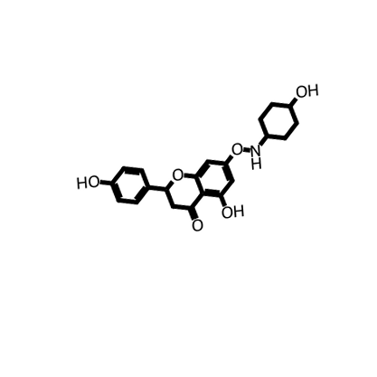 O=C1CC(c2ccc(O)cc2)Oc2cc(ONC3CCC(O)CC3)cc(O)c21